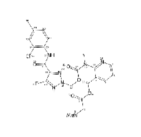 CNCC(=O)OCc1cccnc1N(C)C(=O)OCn1nc(F)c(C(=O)Nc2ccc(C)cc2Cl)n1